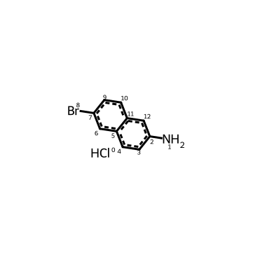 Cl.Nc1ccc2cc(Br)ccc2c1